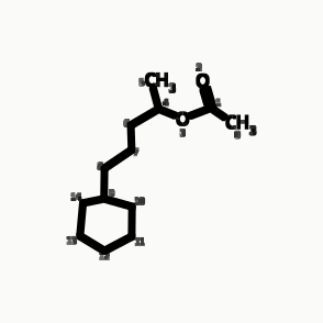 CC(=O)OC(C)CCCC1CCCCC1